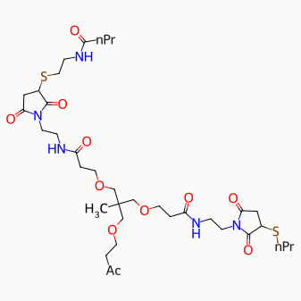 CCCSC1CC(=O)N(CCNC(=O)CCOCC(C)(COCCC(C)=O)COCCC(=O)NCCN2C(=O)CC(SCCNC(=O)CCC)C2=O)C1=O